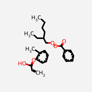 C=CC(=O)O.CCCCC(CC)COOC(=O)c1ccccc1.Cc1ccccc1